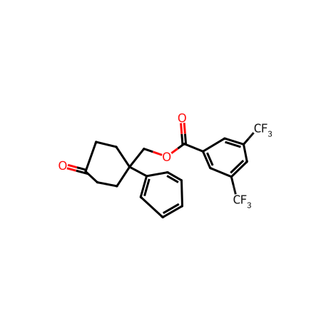 O=C1CCC(COC(=O)c2cc(C(F)(F)F)cc(C(F)(F)F)c2)(c2ccccc2)CC1